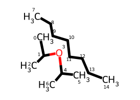 CC(C)OC(C)C.CCCCCCCC